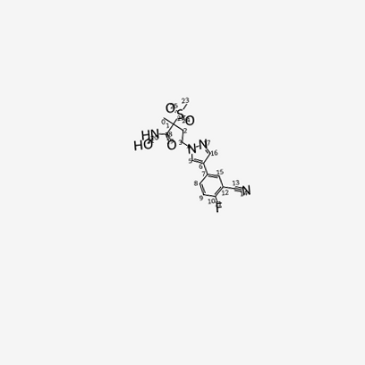 CC(CCn1cc(-c2ccc(F)c(C#N)c2)cn1)(C(=O)NO)S(C)(=O)=O